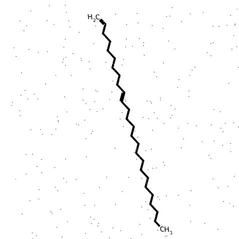 C=CCCCCCCCC=CCCCCCCCCCCCCCCC